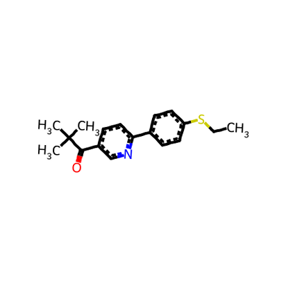 CCSc1ccc(-c2ccc(C(=O)C(C)(C)C)cn2)cc1